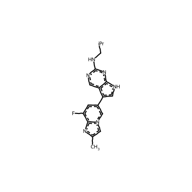 Cc1cn2cc(-c3c[nH]c4nc(NCC(C)C)ncc34)cc(F)c2n1